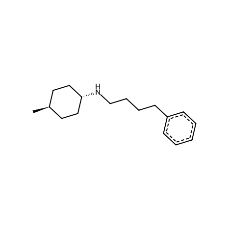 C[C@H]1CC[C@H](NCCCCc2ccccc2)CC1